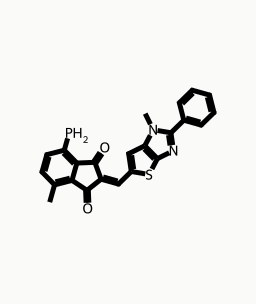 Cc1ccc(P)c2c1C(=O)/C(=C/c1cc3c(nc(-c4ccccc4)n3C)s1)C2=O